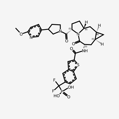 COc1ccc(C2CCN(C(=O)[C@@H]3CC[C@@H]4C[C@H]5C[C@H]5C[C@H](NC(=O)c5cc6cc(C(F)(F)P(=O)(O)O)ccc6s5)C(=O)N43)C2)cn1